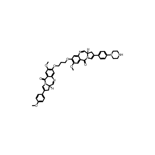 COc1ccc(C2=CN3C(=O)c4cc(OC)c(OCCCOc5cc6c(cc5OC)C(=O)N5C=C(c7ccc(N8CCNCC8)cc7)C[C@H]5C=N6)cc4N=C[C@@H]3C2)cc1